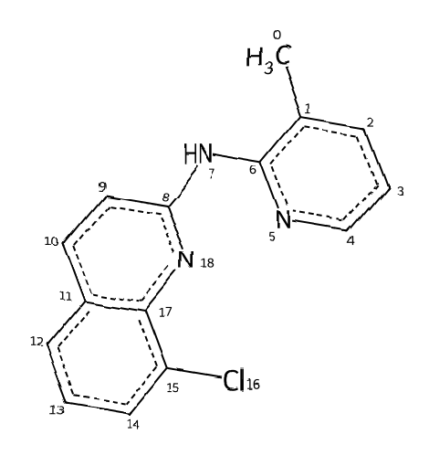 Cc1cccnc1Nc1ccc2cccc(Cl)c2n1